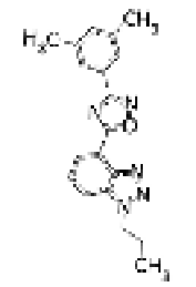 CCCn1nnc2c(-c3nc(-c4cc(C)cc(C)c4)no3)cccc21